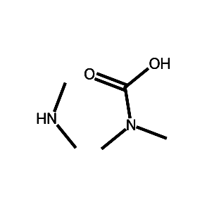 CN(C)C(=O)O.CNC